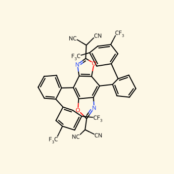 N#CC(C#N)c1nc2c(-c3ccccc3-c3cc(C(F)(F)F)cc(C(F)(F)F)c3)c3oc(C(C#N)C#N)nc3c(-c3ccccc3-c3cc(C(F)(F)F)cc(C(F)(F)F)c3)c2o1